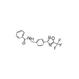 O=C(NCc1ccc(-c2noc(C(F)(F)F)n2)cc1)c1ccccc1